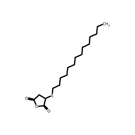 CCCCCCCCCCCCCCSC1CC(=O)OC1=O